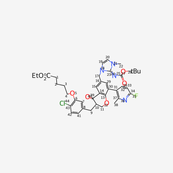 CCOC(=O)CCCCOc1cc(CC2COc3c(cc(Cn4ccn(C)c4=NC(=O)OC(C)(C)C)cc3-c3ccc(F)nc3C)C2=O)ccc1Cl